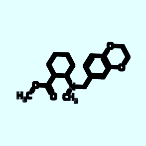 COC(=O)C1CCCCC1N(C)Cc1ccc2c(c1)OCCO2